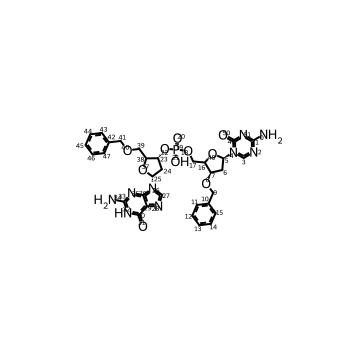 Nc1ncn([C@H]2C[C@@H](OCc3ccccc3)C(COP(=O)(O)O[C@@H]3C[C@H](n4cnc5c(=O)[nH]c(N)nc54)OC3COCc3ccccc3)O2)c(=O)n1